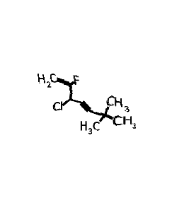 C=C(F)C(Cl)C#CC(C)(C)C